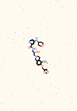 Cc1c(OCc2cnco2)ccc2c1CCN(C[C@@H](O)CNC(=O)c1cc(NC3CCOCC3)ccn1)C2